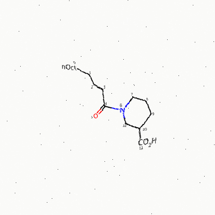 CCCCCCCCCCCC(=O)N1CCCC(C(=O)O)C1